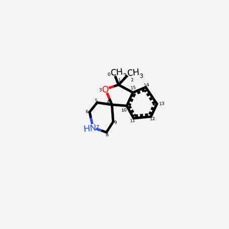 CC1(C)OC2(CCNCC2)c2ccccc21